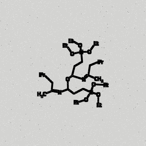 CCO[Si](CCC(N=C(C)CC(C)C)OC(CC[Si](OCC)(OCC)OCC)N=C(C)CC(C)C)(OCC)OCC